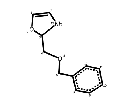 C1=COC(COCc2ccccc2)N1